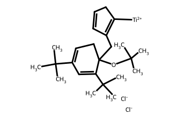 CC(C)(C)OC1(CC2=[C]([Ti+2])CC=C2)CC=C(C(C)(C)C)C=C1C(C)(C)C.[Cl-].[Cl-]